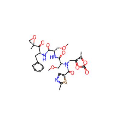 COCC(NC(=O)C(COC)N(Cc1oc(=O)oc1C)C(=O)c1cnc(C)s1)C(=O)NC(Cc1ccccc1)C(=O)C1(C)CO1